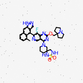 Cc1cccc2cc3[nH]ncc3c(-c3ncc4c(N5CCCC6(CNS(=O)(=O)N6)C5)nc(OCC56CCCN5CCC6)nc4c3F)c12